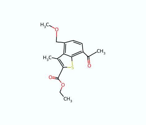 CCOC(=O)c1sc2c(C(C)=O)ccc(COC)c2c1C